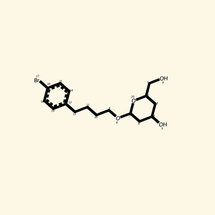 OCC1CC(O)CC(OCCCCc2ccc(Br)cc2)O1